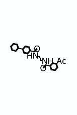 CC(=O)c1cccc(C(=O)NCCNC(=O)c2ccc(-c3ccccc3)cc2)c1